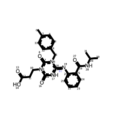 Cc1ccc(Cn2c(=O)n(CCC(=O)O)c(=O)[nH]/c2=N\c2ccccc2C(=O)NC(C)C)cc1